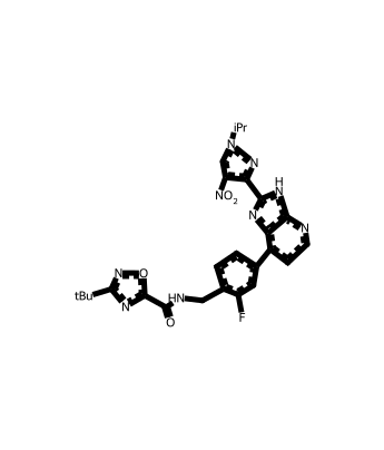 CC(C)n1cc([N+](=O)[O-])c(-c2nc3c(-c4ccc(CNC(=O)c5nc(C(C)(C)C)no5)c(F)c4)ccnc3[nH]2)n1